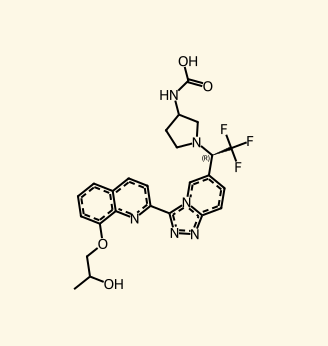 CC(O)COc1cccc2ccc(-c3nnc4ccc([C@@H](N5CCC(NC(=O)O)C5)C(F)(F)F)cn34)nc12